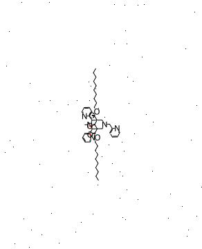 CCCCCCCCCCOC(=O)C12CN(Cc3ccccn3)CC(C(=O)OCCCCCCCCCC)(C1=O)C(c1ccccn1)N(C)C2c1ccccn1